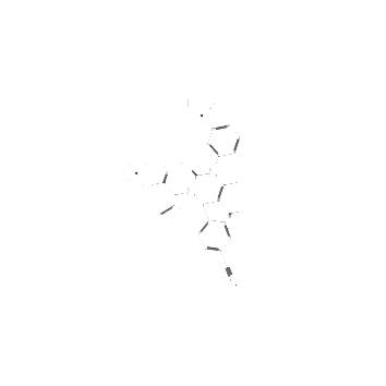 C=CC[C@@]1(c2ccc(C#N)cc2)C(C(=O)O)=C(C)N(c2cccc(C(F)(F)F)c2)C(=O)N1CC(=O)OC(C)(C)C